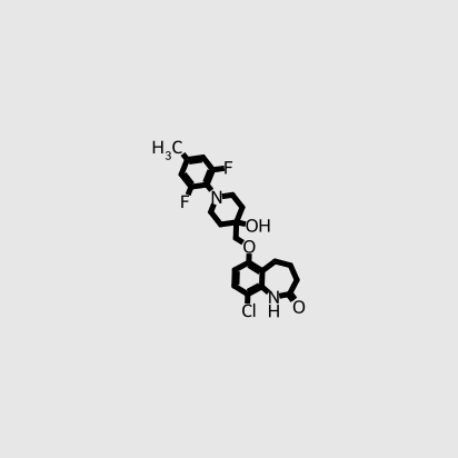 Cc1cc(F)c(N2CCC(O)(COc3ccc(Cl)c4c3CCCC(=O)N4)CC2)c(F)c1